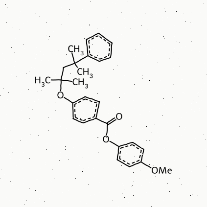 COc1ccc(OC(=O)c2ccc(OC(C)(C)CC(C)(C)c3ccccc3)cc2)cc1